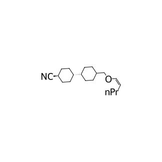 CCC/C=C\OCC1CCC([C@H]2CC[C@H](C#N)CC2)CC1